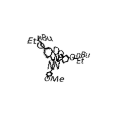 CCCCC(CC)COC1=CC(=O)C(c2nc(-c3ccc(OC)cc3)nc(C3CCC(OCC(CC)CCCC)=CC3=O)n2)CC1